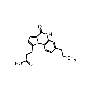 CCCc1ccc2c(c1)[nH]c(=O)c1ccc(CCC(=O)O)n12